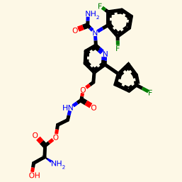 NC(=O)N(c1ccc(COC(=O)NCCOC(=O)[C@@H](N)CO)c(-c2ccc(F)cc2)n1)c1c(F)cccc1F